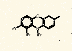 CC1C=CC2=C(C1)Oc1ccc(C(C)C)c(C(C)C)c1N2C(C)C